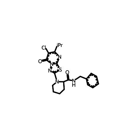 CC(C)c1nc2sc(N3CCCCC3C(=O)NCc3ccccc3)nn2c(=O)c1Cl